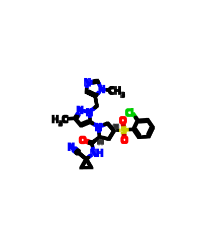 Cc1cc(N2C[C@H](S(=O)(=O)c3ccccc3Cl)C[C@H]2C(=O)NC2(C#N)CC2)n(Cc2cncn2C)n1